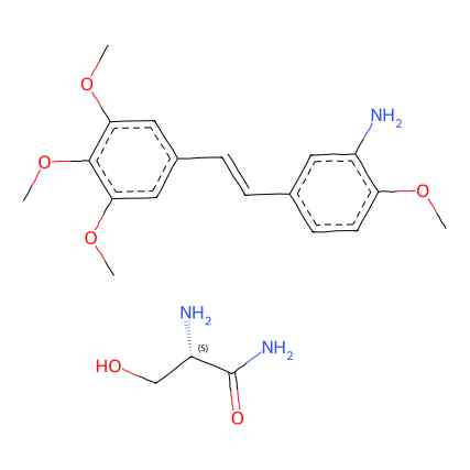 COc1ccc(C=Cc2cc(OC)c(OC)c(OC)c2)cc1N.NC(=O)[C@@H](N)CO